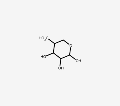 O=C(O)C1COC(O)C(O)C1O